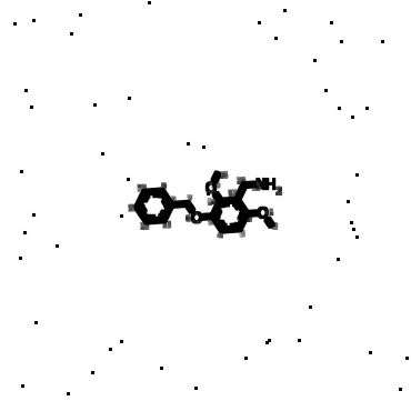 COc1ccc(OCc2ccccc2)c(OC)c1CN